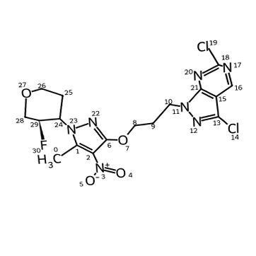 Cc1c([N+](=O)[O-])c(OCCCn2nc(Cl)c3cnc(Cl)nc32)nn1C1CCOC[C@@H]1F